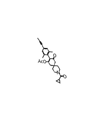 CC#Cc1cc(C)c(C2=C(OC(C)=O)CC3(CCN(C(=O)C4CC4)CC3)CC2=O)c(C)c1